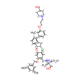 Cc1c(OCCCN2CCC(O)CC2)cccc1-c1cccc2c1CC[C@@H]2Oc1cc(OCc2cc(C#N)cc(C#N)c2)c(CN[C@@](C)(CO)C(=O)O)cc1Cl